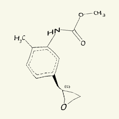 COC(=O)Nc1cc([C@H]2CO2)ccc1C